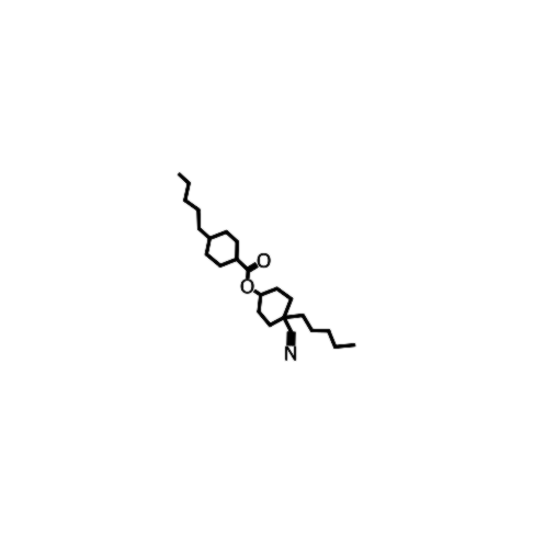 CCCCCC1CCC(C(=O)OC2CCC(C#N)(CCCCC)CC2)CC1